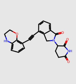 O=C1CCC(N2Cc3c(C#Cc4cccc5c4OCCN5)cccc3C2=O)C(=O)N1